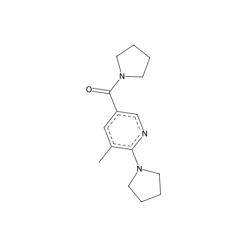 Cc1cc(C(=O)N2CCCC2)cnc1N1CCCC1